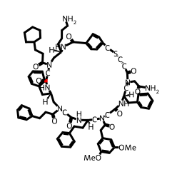 COc1cc(CC(=O)N2CC(=O)N[C@@H](Cc3ccccc3)CN(CC(N)=O)C(=O)CCSCc3ccc(cc3)C(=O)N[C@@H](CCCCN)CN(C(=O)CCC3CCCCC3)CC(=O)N[C@@H](Cc3ccccc3)CN(C(=O)CCc3ccccc3)CC(=O)N[C@@H](CCc3ccccc3)C2)cc(OC)c1